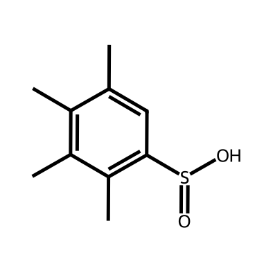 Cc1cc(S(=O)O)c(C)c(C)c1C